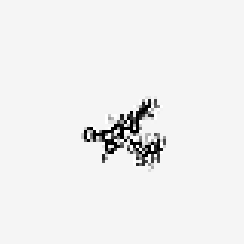 Cn1nc(NS(C)(=O)=O)c2cccc(-c3ccc(C#CC4CCCCN4)nc3[C@H](Cc3cc(F)cc(F)c3)NC(=O)Cn3nc(C(F)(F)F)c4c3C(F)(F)[C@@H]3C[C@H]43)c21